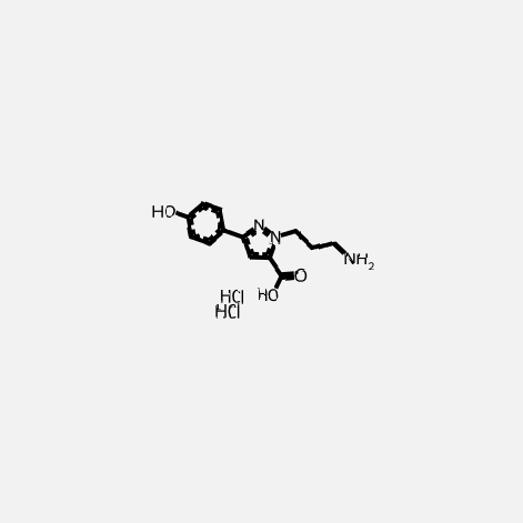 Cl.Cl.NCCCn1nc(-c2ccc(O)cc2)cc1C(=O)O